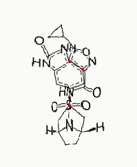 O=C(N[C@@H]1C[C@H]2CC[C@@H](C1)N2S(=O)(=O)c1ccc2[nH]c(=O)[nH]c2c1)c1cc(C2CC2)on1